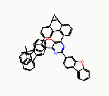 CC1(C)c2ccccc2-c2ccc(-c3ccc4c(c3)-c3c(-c5nc(-c6ccc7c(c6)oc6ccccc67)nc6c5oc5ccc(-c7ccccc7)cc56)cccc3C3CC43)cc21